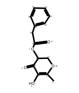 CC1=C(O)C(=O)C(OC(=O)Cc2ccccc2)CO1